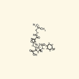 CN(C)CCNC(=O)c1cc(CC2[C@H]3C[C@@H](Oc4ccc(F)cc4)C[C@H]3CN2C(=O)O)on1